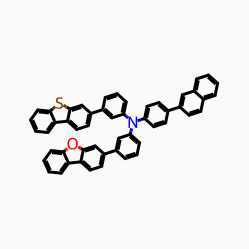 c1cc(-c2ccc3c(c2)oc2ccccc23)cc(N(c2ccc(-c3ccc4ccccc4c3)cc2)c2cccc(-c3ccc4c(c3)sc3ccccc34)c2)c1